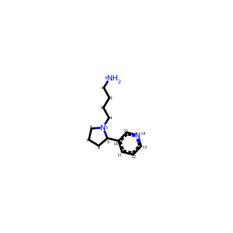 NCCCCN1CCCC1c1cccnc1